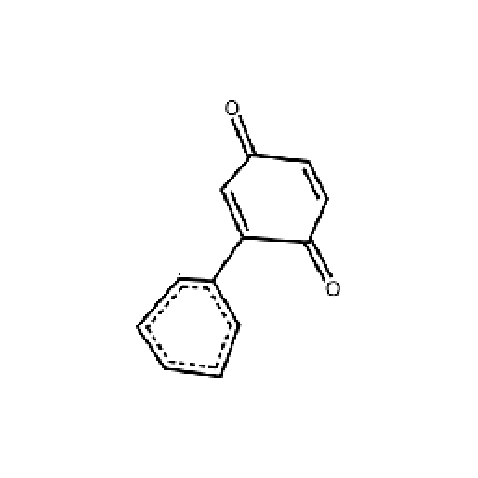 O=C1C=CC(=O)C(c2[c]cccc2)=C1